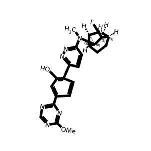 COc1ncnc(-c2ccc(-c3ccc(N(C)[C@@H]4[C@H]5CC[C@H](NC5)[C@@H]4F)nn3)c(O)c2)n1